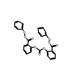 O=C(Oc1ccccc1C(=O)OOc1ccccc1)Oc1ccccc1C(=O)OOc1ccccc1